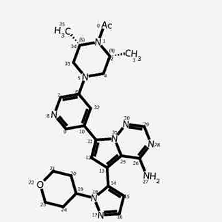 CC(=O)N1[C@H](C)CN(c2cncc(-c3cc(-c4ccnn4C4CCOCC4)c4c(N)ncnn34)c2)C[C@@H]1C